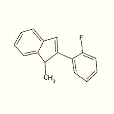 C[C]1C(c2ccccc2F)=Cc2ccccc21